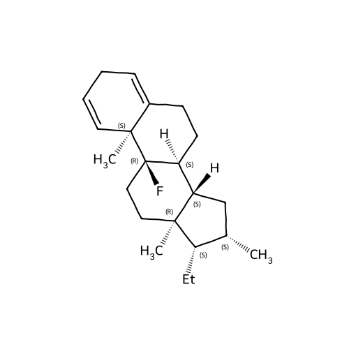 CC[C@H]1[C@@H](C)C[C@H]2[C@@H]3CCC4=CCC=C[C@]4(C)[C@@]3(F)CC[C@]12C